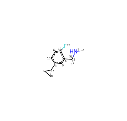 CN[C@H](C)c1cc(C2CC2)ccc1F